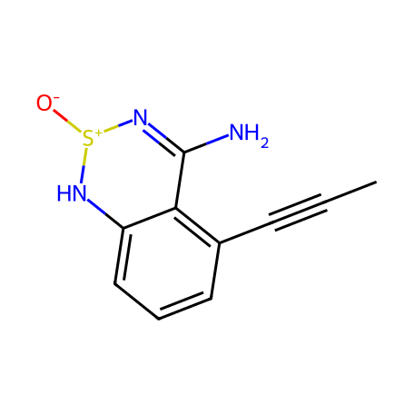 CC#Cc1cccc2c1C(N)=N[S+]([O-])N2